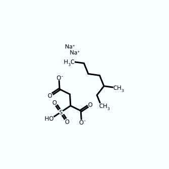 CCCCC(C)CC.O=C([O-])CC(C(=O)[O-])S(=O)(=O)O.[Na+].[Na+]